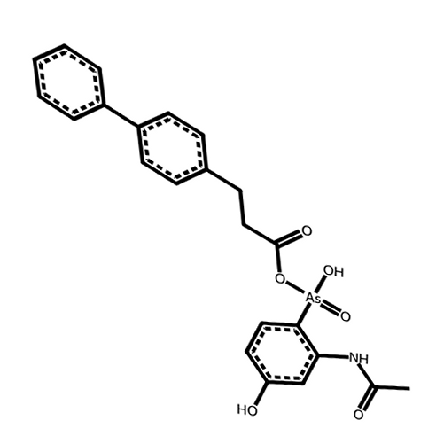 CC(=O)Nc1cc(O)ccc1[As](=O)(O)OC(=O)CCc1ccc(-c2ccccc2)cc1